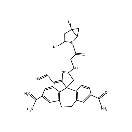 C=C(N)c1ccc2c(c1)CCc1cc(C(N)=O)ccc1C2(CCNCC(=O)N1C(C#N)C[C@@H]2CC21)/C(N)=N/N=N